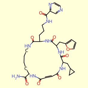 NC(=O)C1CCCCNC(=O)C(CCCNC(=O)c2cnccn2)NC(=O)C(Cc2ccco2)NC(=O)C(CC2CC2)NC(=O)C=CC(=O)N1